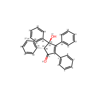 O=C1C(c2ccccc2)=C(c2ccccc2)[C@@](O)(c2ccccc2)[C@H]1c1ccccc1